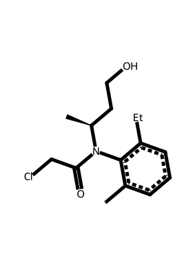 CCc1cccc(C)c1N(C(=O)CCl)[C@@H](C)CCO